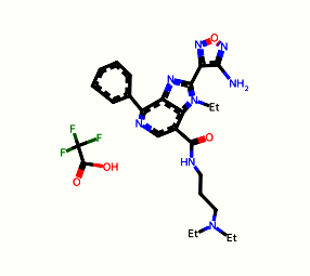 CCN(CC)CCCNC(=O)c1cnc(-c2ccccc2)c2nc(-c3nonc3N)n(CC)c12.O=C(O)C(F)(F)F